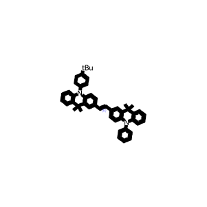 CC(C)(C)C1=CC=C(N2c3ccccc3C(C)(C)c3cc(/C=C/c4ccc5c(c4)C(C)(C)c4ccccc4N5c4ccccc4)ccc32)CC1